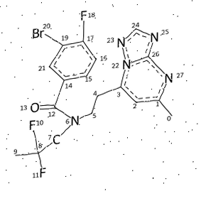 Cc1cc(CCN(CC(C)(F)F)C(=O)c2ccc(F)c(Br)c2)n2ncnc2n1